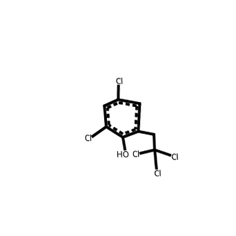 Oc1c(Cl)cc(Cl)cc1CC(Cl)(Cl)Cl